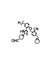 Cc1ccc(OCc2ccc(CN3CCCCC3)cc2C#N)c(C2=CSC(N3CCC(C=O)CC3)N2)c1